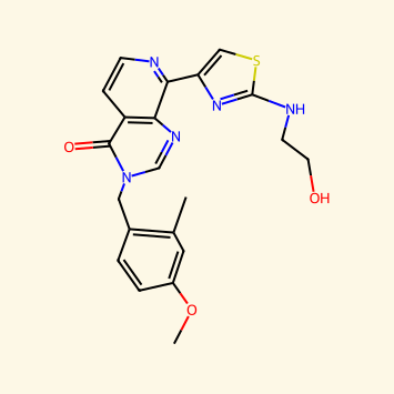 COc1ccc(Cn2cnc3c(-c4csc(NCCO)n4)nccc3c2=O)c(C)c1